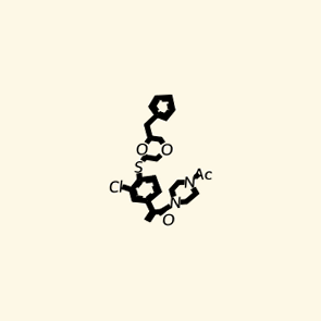 C=C(C(=O)N1CCN(C(C)=O)CC1)c1ccc(SC2COCC(Cc3ccccc3)O2)c(Cl)c1